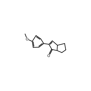 COc1ccc(C2=CC3CCCC3C2=O)cc1